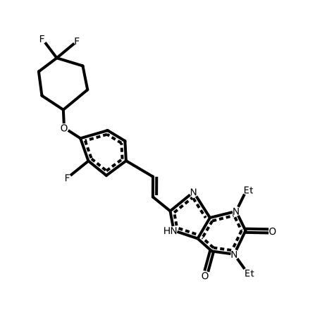 CCn1c(=O)c2[nH]c(/C=C/c3ccc(OC4CCC(F)(F)CC4)c(F)c3)nc2n(CC)c1=O